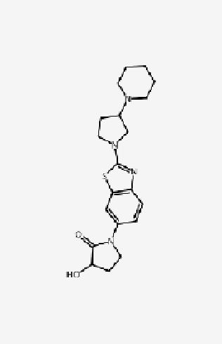 O=C1C(O)CCN1c1ccc2nc(N3CCC(N4CCCCC4)C3)sc2c1